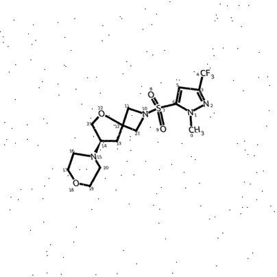 Cn1nc(C(F)(F)F)cc1S(=O)(=O)N1CC2(C[C@@H](N3CCOCC3)CO2)C1